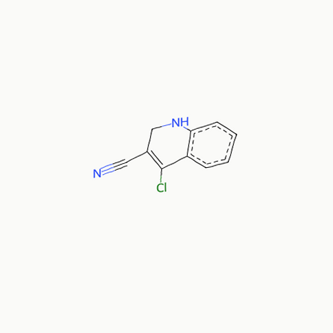 N#CC1=C(Cl)c2ccccc2NC1